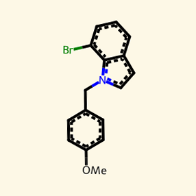 COc1ccc(Cn2ccc3cccc(Br)c32)cc1